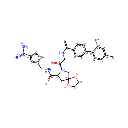 C=C(NCC(=O)N1CC2(C[C@H]1C(=O)NCc1cc(C(=N)N)cs1)OCCO2)c1ccc(-c2ccc(C)cc2F)cc1